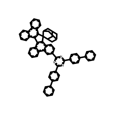 c1ccc(-c2ccc(-c3nc(-c4ccc(-c5ccccc5)cc4)nc(-c4ccc5c6c(c7ccccc7c5c4)-c4c(c5ccccc5c5ccccc45)C64C5CC6CC(C5)CC4C6)n3)cc2)cc1